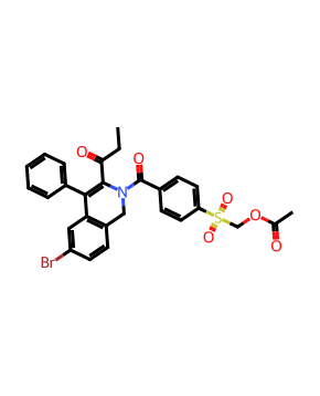 CCC(=O)C1=C(c2ccccc2)c2cc(Br)ccc2CN1C(=O)c1ccc(S(=O)(=O)COC(C)=O)cc1